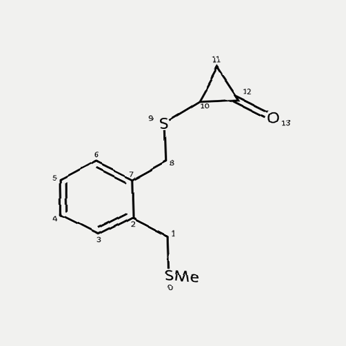 CSCc1ccccc1CSC1CC1=O